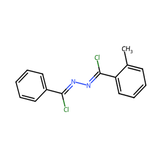 Cc1ccccc1C(Cl)=NN=C(Cl)c1ccccc1